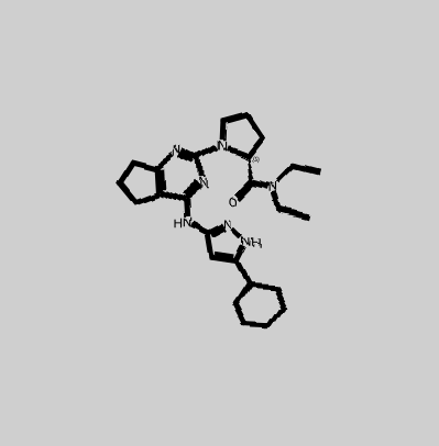 CCN(CC)C(=O)[C@@H]1CCCN1c1nc2c(c(Nc3cc(C4CCCCC4)[nH]n3)n1)CCC2